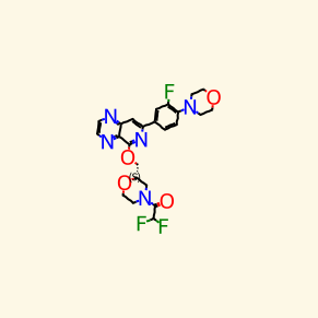 O=C(C(F)F)N1CCO[C@H](COc2nc(-c3ccc(N4CCOCC4)c(F)c3)cc3nccnc23)C1